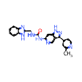 Cc1cc(-c2n[nH]c3cc(NC(=O)NCc4nc5ccccc5[nH]4)ncc23)ccn1